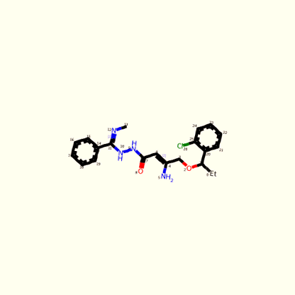 CCC(OC/C(N)=C/C(=O)NN/C(=N\C)c1ccccc1)c1ccccc1Cl